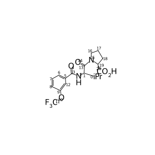 CC(C)C(NC(=O)c1cccc(OC(F)(F)F)c1)C(=O)N1CCC[C@H]1C(=O)O